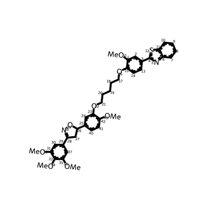 COc1cc(-c2nc3ccccc3s2)ccc1OCCCCCOc1cc(C2CC(c3cc(OC)c(OC)c(OC)c3)=NO2)ccc1OC